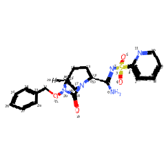 NC(=NS(=O)(=O)c1ccccn1)[C@@H]1CC[C@@H]2CN1C(=O)N2OCc1ccccc1